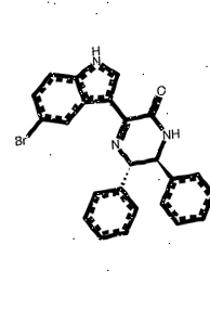 O=C1N[C@@H](c2ccccc2)[C@H](c2ccccc2)N=C1c1c[nH]c2ccc(Br)cc12